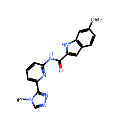 COc1ccc2cc(C(=O)Nc3cccc(-c4nncn4C(C)C)n3)[nH]c2c1